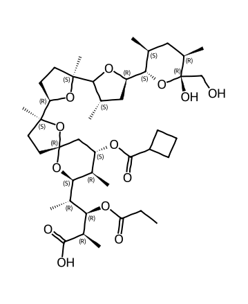 CCC(=O)O[C@H]([C@H](C)[C@H]1O[C@@]2(CC[C@@](C)([C@H]3CC[C@@](C)(C4O[C@@H]([C@H]5O[C@@](O)(CO)[C@H](C)C[C@@H]5C)C[C@@H]4C)O3)O2)C[C@H](OC(=O)C2CCC2)[C@H]1C)[C@@H](C)C(=O)O